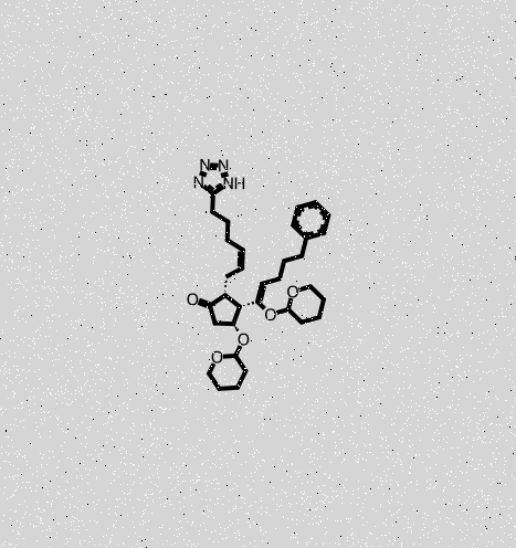 O=C1C[C@@H](OC2CCCCO2)[C@@H](C(=CCCCc2ccccc2)OC2CCCCO2)[C@H]1C/C=C\CCCc1nnn[nH]1